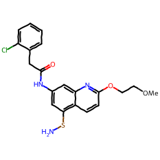 COCCOc1ccc2c(SN)cc(NC(=O)Cc3ccccc3Cl)cc2n1